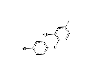 Cc1ccc(Oc2ccc(Cl)cc2)c(N)c1